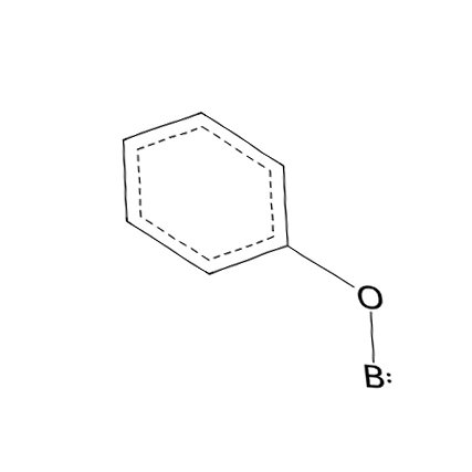 [B]Oc1ccccc1